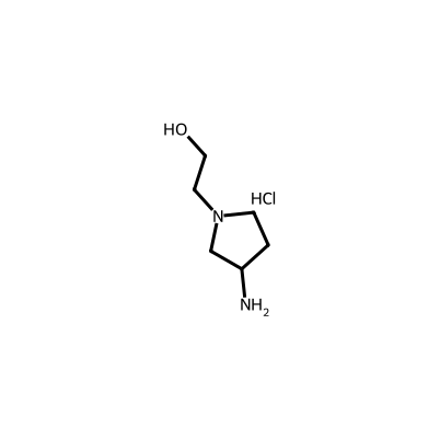 Cl.NC1CCN(CCO)C1